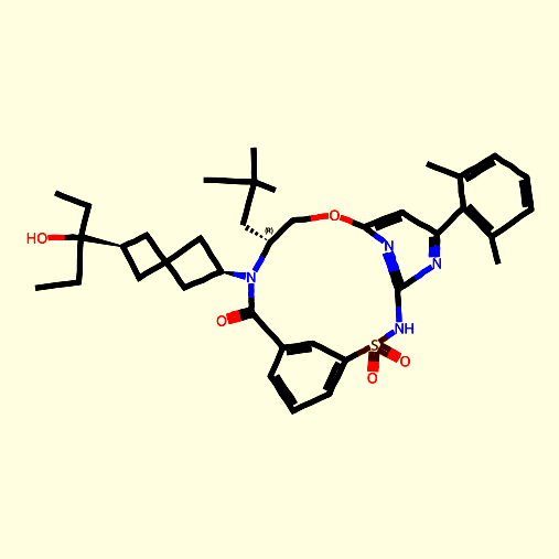 CCC(O)(CC)[C@H]1CC2(C[C@H](N3C(=O)c4cccc(c4)S(=O)(=O)Nc4nc(cc(-c5c(C)cccc5C)n4)OC[C@H]3CC(C)(C)C)C2)C1